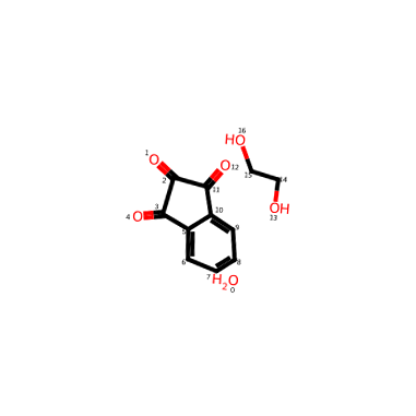 O.O=c1c(=O)c2ccccc2c1=O.OCCO